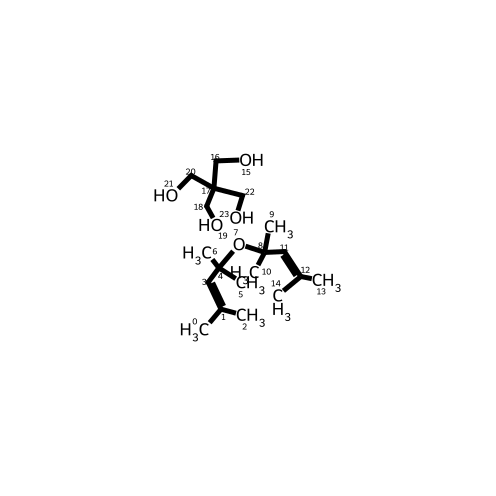 CC(C)=CC(C)(C)OC(C)(C)C=C(C)C.OCC(CO)(CO)CO